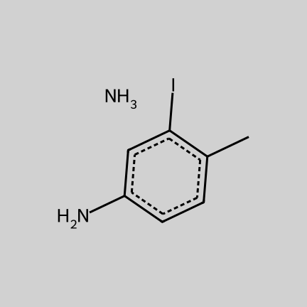 Cc1ccc(N)cc1I.N